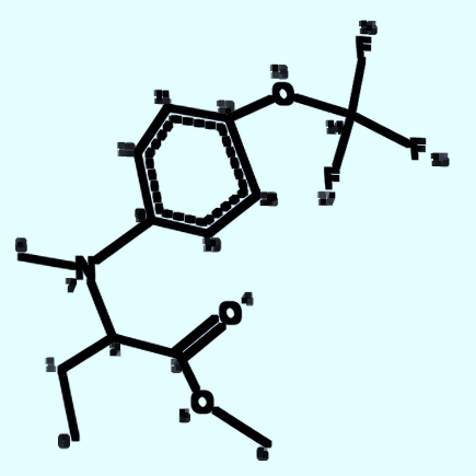 CCC(C(=O)OC)N(C)c1ccc(OC(F)(F)F)cc1